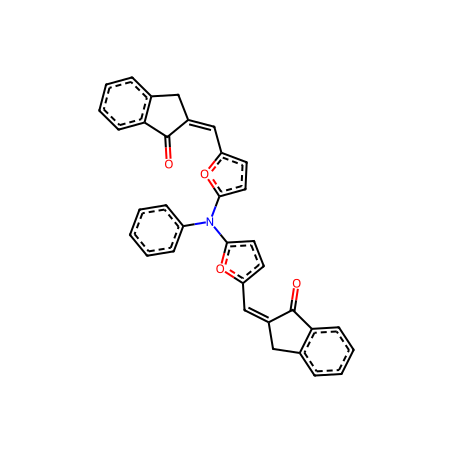 O=C1/C(=C\c2ccc(N(c3ccccc3)c3ccc(/C=C4/Cc5ccccc5C4=O)o3)o2)Cc2ccccc21